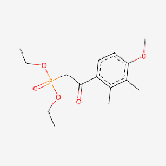 CCOP(=O)(CC(=O)c1ccc(OC)c(C)c1C)OCC